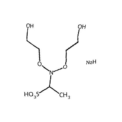 CC(N(OCCO)OCCO)S(=O)(=O)O.[NaH]